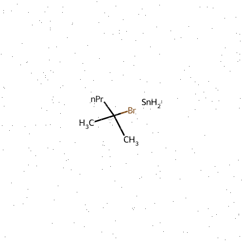 CCCC(C)(C)Br.[SnH2]